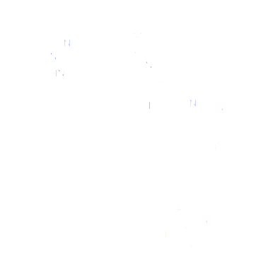 O=C(c1ccc2[nH]nnc2c1)N1C=C2CN(C(=O)COc3ccc(OC(F)(F)F)cc3)C[C@H]2C1